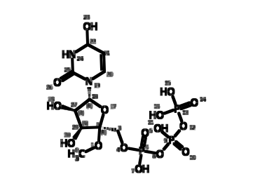 CO[C@]1(COP(=O)(O)OP(=O)(O)OP(=O)(O)O)O[C@@H](N2C=CC(O)NC2=O)[C@H](O)[C@@H]1O